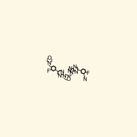 N#Cc1cc(-c2cnc3nnn(C[C@@H]4CN(c5ncc(-c6ccc(CN7CCOCC7)c(F)c6)cn5)CCO4)c3n2)ccc1F